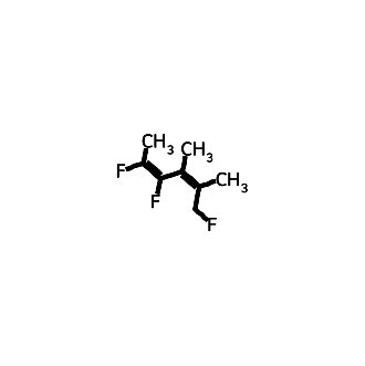 C/C(F)=C(F)\C(C)=C(\C)CF